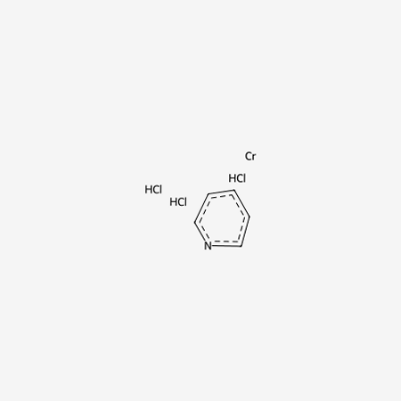 Cl.Cl.Cl.[Cr].c1ccncc1